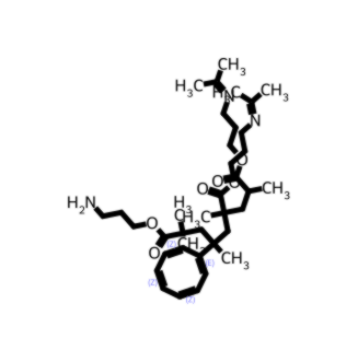 CC(C)=NCCCOC(=O)C(C)CC(C)(CC(C)(CC(C)(C)C(=O)OCCCN)C1=C/C=C\C=C/C=C\1)C(=O)OCCCN=C(C)C